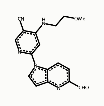 COCCNc1cc(-n2ccc3nc(C=O)ccc32)ncc1C#N